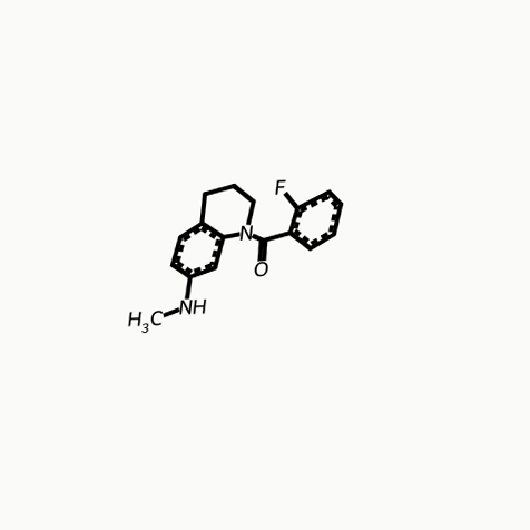 CNc1ccc2c(c1)N(C(=O)c1ccccc1F)CCC2